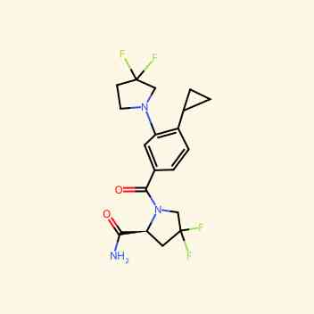 NC(=O)[C@@H]1CC(F)(F)CN1C(=O)c1ccc(C2CC2)c(N2CCC(F)(F)C2)c1